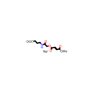 COC(=O)/C=C/C(=O)OCC(=O)NCCCC(=O)[O-].[Na+]